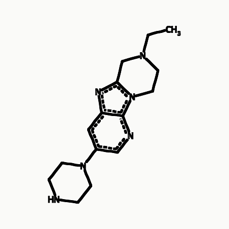 CCN1CCn2c(nc3cc(N4CCNCC4)cnc32)C1